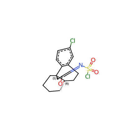 O=S(=O)(Cl)N=C1C[C@]23CCCC[C@]2(CCc2cc(Cl)ccc23)O1